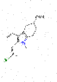 C=Cc1c2c(n(C)c1/C=C(\C)Br)CCC(OC)C2